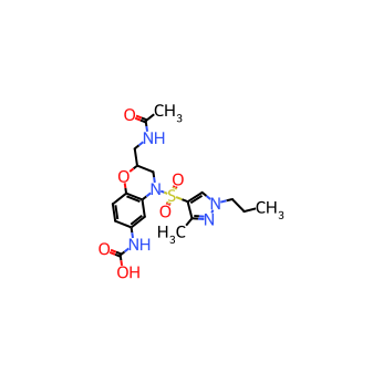 CCCn1cc(S(=O)(=O)N2CC(CNC(C)=O)Oc3ccc(NC(=O)O)cc32)c(C)n1